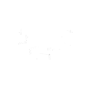 O=C(NCc1ccncc1)c1ccc(-c2cc[nH]n2)s1